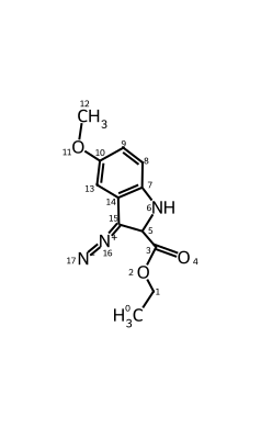 CCOC(=O)C1Nc2ccc(OC)cc2C1=[N+]=[N-]